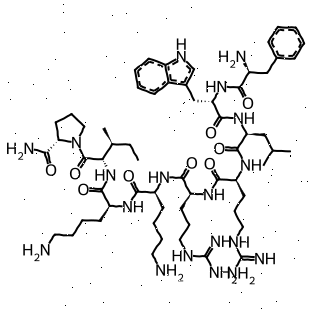 CC[C@H](C)[C@H](NC(=O)[C@H](CCCCN)NC(=O)[C@H](CCCCN)NC(=O)[C@H](CCCNC(=N)N)NC(=O)[C@H](CCCNC(=N)N)NC(=O)[C@H](CC(C)C)NC(=O)[C@H](Cc1c[nH]c2ccccc12)NC(=O)[C@@H](N)Cc1ccccc1)C(=O)N1CCC[C@H]1C(N)=O